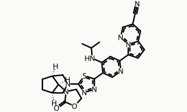 CC(C)Nc1cc(-c2ccc3cc(C#N)cnn23)ncc1-c1nnc(N2C[C@H]3CC[C@@H](C2)[C@H]3N2CCOC2=O)s1